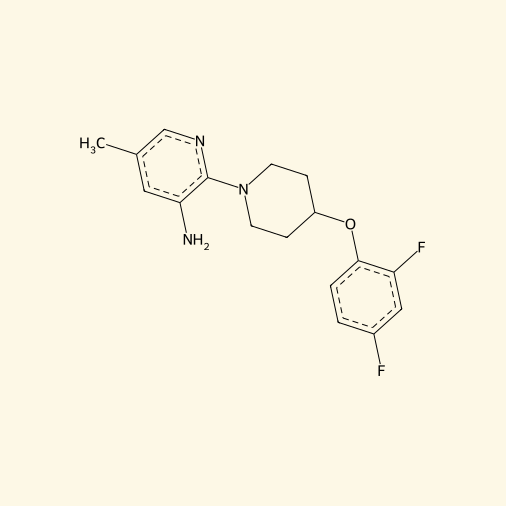 Cc1cnc(N2CCC(Oc3ccc(F)cc3F)CC2)c(N)c1